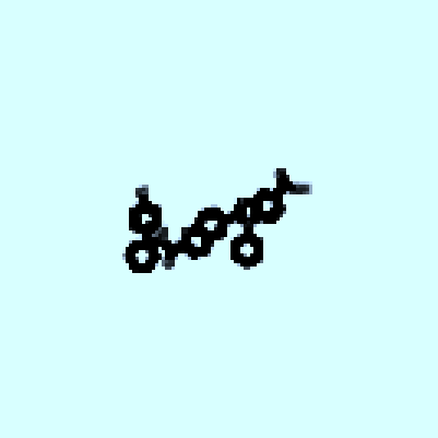 O=C(O)c1ccc2c(c1)nc(-c1ccc3nc(C(=O)NC4(c5ccc(Cl)cc5)CCCCC4)ccc3c1)n2C1CCCCC1